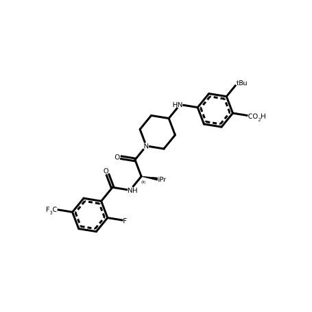 CC(C)[C@@H](NC(=O)c1cc(C(F)(F)F)ccc1F)C(=O)N1CCC(Nc2ccc(C(=O)O)c(C(C)(C)C)c2)CC1